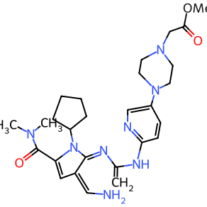 C=C(/N=C1\C(=C/N)C=C(C(=O)N(C)C)N1C1CCCC1)Nc1ccc(N2CCN(CC(=O)OC)CC2)cn1